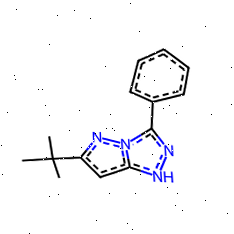 CC(C)(C)c1cc2[nH]nc(-c3ccccc3)n2n1